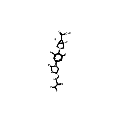 COC(=O)C1[C@H]2CN(c3c(F)cc(N4C[C@H](CNC(=O)C(F)F)OC4=O)cc3F)C[C@@H]12